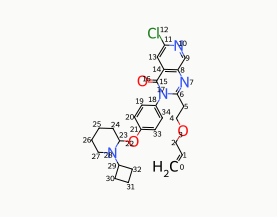 C=CCOCCc1nc2cnc(Cl)cc2c(=O)n1-c1ccc(OC2CCCCN2C2CCC2)cc1